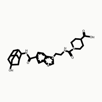 O=C(NC1C2CC3CC1CC(O)(C3)C2)c1ccc2c(c1)ncn2CCNC(=O)N1CCC(C(=O)O)CC1